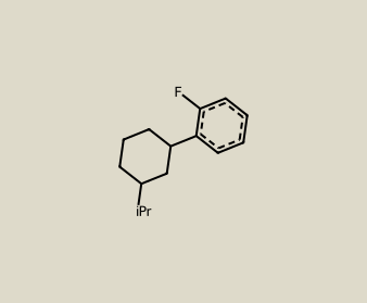 CC(C)C1CCCC(c2ccccc2F)C1